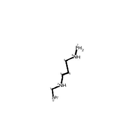 CCCCNCCCNP